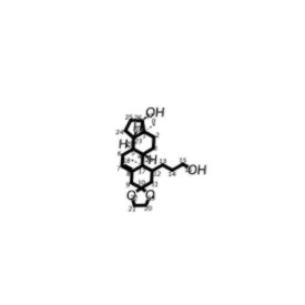 C[C@]12CC[C@H]3[C@@H](CC=C4CC5(CC(CCCO)[C@@]43C)OCCO5)[C@@H]1CC[C@@H]2O